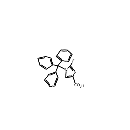 O=C(O)c1cn(C(c2ccccc2)(c2ccccc2)c2ccccc2)c(F)n1